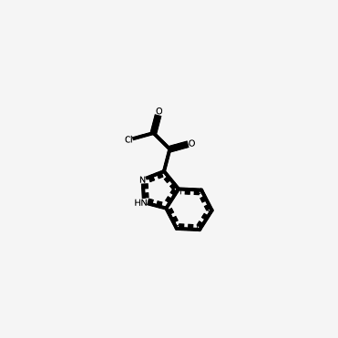 O=C(Cl)C(=O)c1n[nH]c2ccccc12